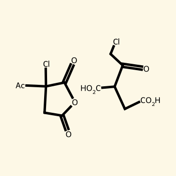 CC(=O)C1(Cl)CC(=O)OC1=O.O=C(O)CC(C(=O)O)C(=O)CCl